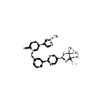 Cn1cc(-c2ccc(=O)n(Cc3cccc(-c4ncc(B5OC(C)(C)C(C)(C)O5)cn4)c3)c2)cn1